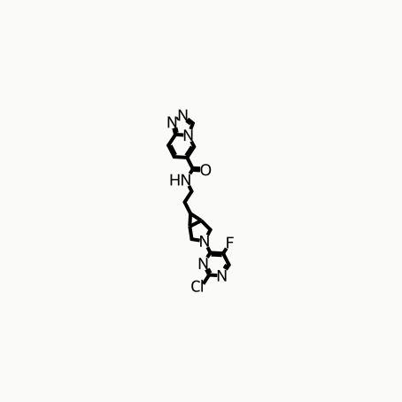 O=C(NCCC1C2CN(c3nc(Cl)ncc3F)CC12)c1ccc2nncn2c1